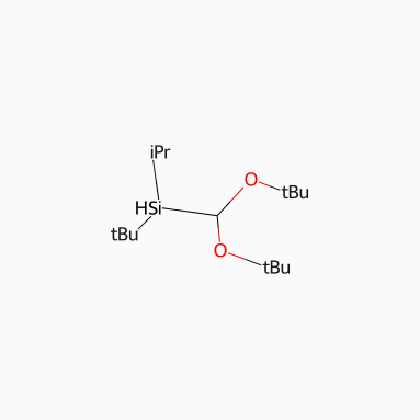 CC(C)[SiH](C(OC(C)(C)C)OC(C)(C)C)C(C)(C)C